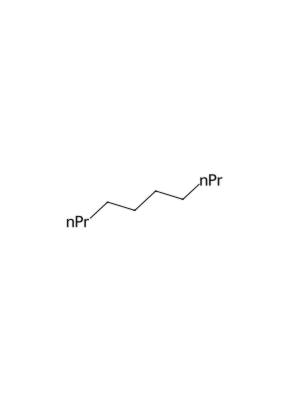 [CH]CCCCCCCC[CH]